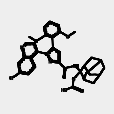 COc1cccc(OC)c1-c1cc(C(=O)NC2(OC(=O)O)C3CC4CC(C3)CC2C4)nn1-c1ccnc2cc(Cl)ccc12